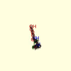 Cc1cc(C2(C)CCCc3nc(SCc4c(F)cc(C(=O)NCCOCCOCCOCCO)cc4F)n(-c4ccc(F)cc4)c32)ccc1F